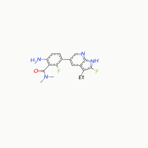 CCc1c(F)[nH]c2ncc(-c3ccc(N)c(C(=O)N(C)C)c3F)cc12